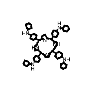 C1=Cc2nc1c(-c1ccc(Nc3ccccc3)cc1)c1ccc([nH]1)c(-c1ccc(Nc3ccccc3)cc1)c1nc(c(-c3ccc(Nc4ccccc4)cc3)c3ccc([nH]3)c2-c2ccc(Nc3ccccc3)cc2)C=C1